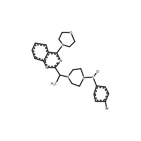 CC(c1nc(N2CCOCC2)c2ccccc2n1)N1CCN([S+]([O-])c2ccc(Br)cc2)CC1